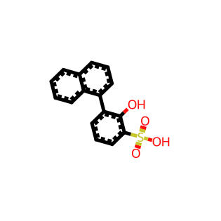 O=S(=O)(O)c1cccc(-c2cccc3ccccc23)c1O